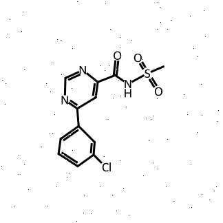 CS(=O)(=O)NC(=O)c1cc(-c2cccc(Cl)c2)ncn1